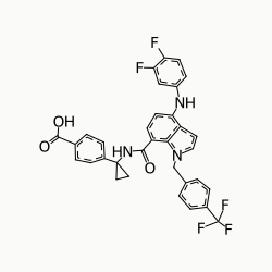 O=C(O)c1ccc(C2(NC(=O)c3ccc(Nc4ccc(F)c(F)c4)c4ccn(Cc5ccc(C(F)(F)F)cc5)c34)CC2)cc1